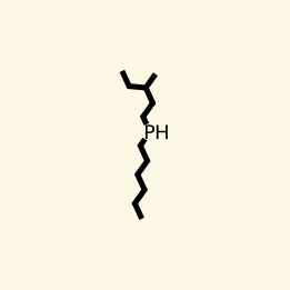 CCCCCCPCCC(C)CC